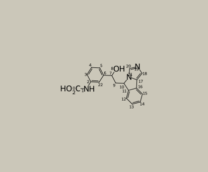 O=C(O)Nc1cccc(C(O)CC2c3ccccc3-c3cncn32)c1